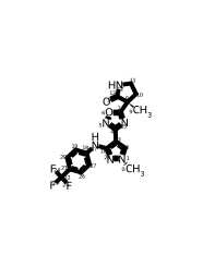 Cn1cc(-c2noc([C@]3(C)CCNC3=O)n2)c(Nc2ccc(C(F)(F)F)cc2)n1